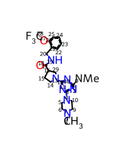 CNc1nc(N2CCN(C)CC2)nc(N2CCC(C(=O)NCc3ccccc3OC(F)(F)F)C2)n1